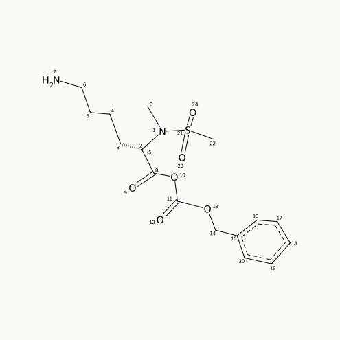 CN([C@@H](CCCCN)C(=O)OC(=O)OCc1ccccc1)S(C)(=O)=O